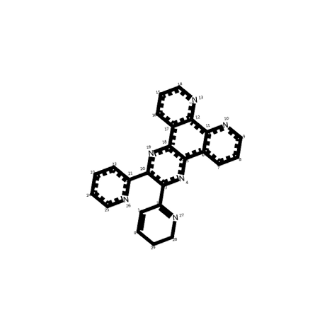 C1=CC(c2nc3c4cccnc4c4ncccc4c3nc2-c2ccccn2)=NCC1